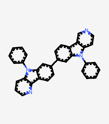 c1ccc(-n2c3ccncc3c3ccc(-c4ccc5c6ncccc6n(-c6ccccc6)c5c4)cc32)cc1